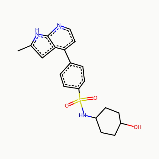 Cc1cc2c(-c3ccc(S(=O)(=O)NC4CCC(O)CC4)cc3)ccnc2[nH]1